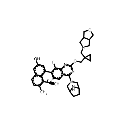 C#Cc1c(C)ccc2cc(O)cc(-c3c(C(F)(F)F)cc4c(N5CC6CCC(C5)N6)nc(OCC5(CN6CC7COCC7C6)CC5)nc4c3F)c12